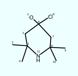 CC1(C)CC([O])(Cl)CC(C)(C)N1